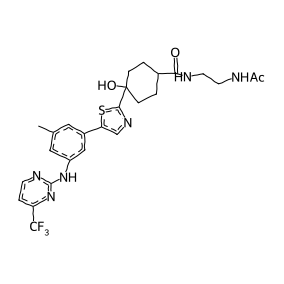 CC(=O)NCCNC(=O)C1CCC(O)(c2ncc(-c3cc(C)cc(Nc4nccc(C(F)(F)F)n4)c3)s2)CC1